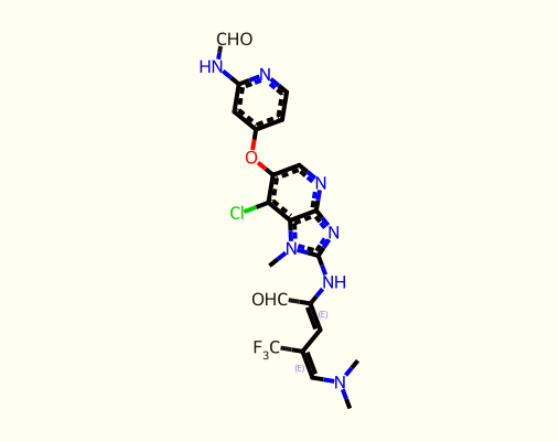 CN(C)/C=C(\C=C(/C=O)Nc1nc2ncc(Oc3ccnc(NC=O)c3)c(Cl)c2n1C)C(F)(F)F